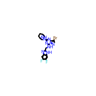 Fc1cc2nc(CNc3nc(N4CC5CCC(C4)N5)nc4c(Br)cnn34)[nH]c2cc1F